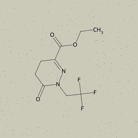 CCOC(=O)C1=NN(CC(F)(F)F)C(=O)CC1